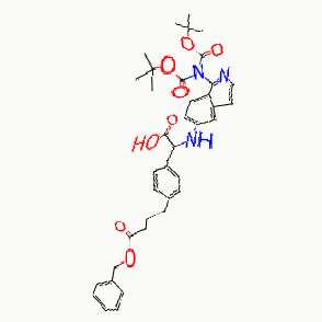 CC(C)(C)OC(=O)N(C(=O)OC(C)(C)C)c1nccc2cc(NC(C(=O)O)c3ccc(CCCC(=O)OCc4ccccc4)cc3)ccc12